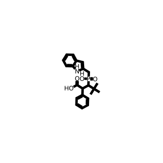 CC(C)(C)C(C(C(=O)O)c1ccccc1)P(=O)(O)Cc1cc2ccccc2[nH]1